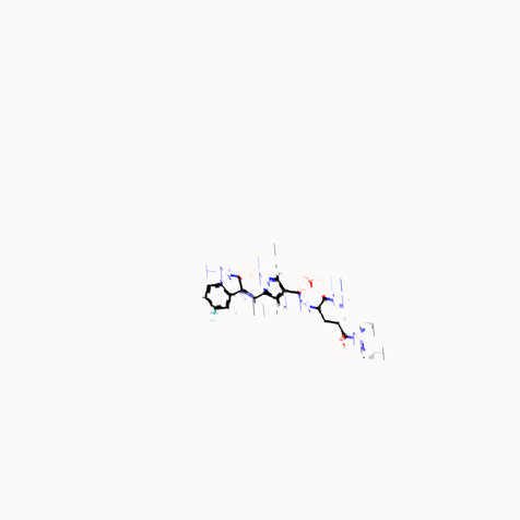 Cc1[nH]c(/C=C2\C(=O)Nc3ccc(F)cc32)c(C)c1C(=O)NC(CCC(=O)N(C)C)C(N)=O